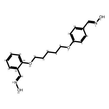 ON=Cc1ccc(OCCCCCOc2ccccc2C=NO)cc1